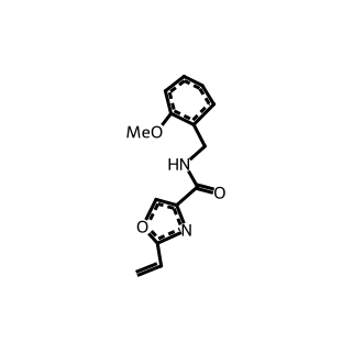 C=Cc1nc(C(=O)NCc2ccccc2OC)co1